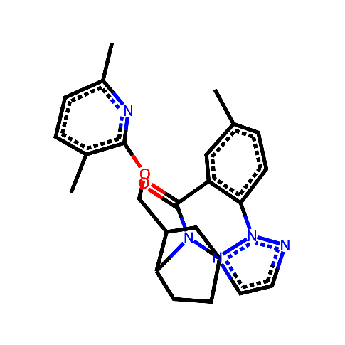 Cc1ccc(-n2nccn2)c(C(=O)N2C3CCC2C(COc2nc(C)ccc2C)C3)c1